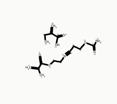 C=C(C)C(=O)OCC[N+]#CCCOC(N)=O.C=C(CC)C(=O)O